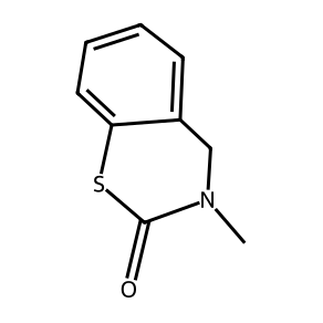 CN1Cc2ccccc2SC1=O